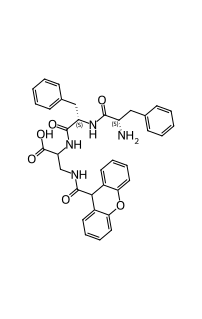 N[C@@H](Cc1ccccc1)C(=O)N[C@@H](Cc1ccccc1)C(=O)NC(CNC(=O)C1c2ccccc2Oc2ccccc21)C(=O)O